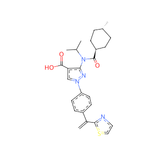 C=C(c1ccc(-n2cc(C(=O)O)c(N(C(=O)[C@H]3CC[C@H](C)CC3)C(C)C)n2)cc1)c1nccs1